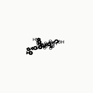 CC(C)c1ccccc1[C@@H]1CCCN1C1CC2(CCN(c3ccc(C(=O)NS(=O)(=O)c4cc5c(c([N+](=O)[O-])c4)N[C@@H]([C@H]4CC[C@](C)(O)CC4)CO5)c(Oc4cc5cc[nH]c5nc4N)c3)CC2)C1